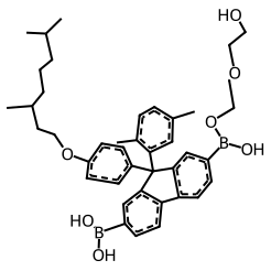 Cc1ccc(C)c(C2(c3ccc(OCCC(C)CCCC(C)C)cc3)c3cc(B(O)O)ccc3-c3ccc(B(O)OCCOCCO)cc32)c1